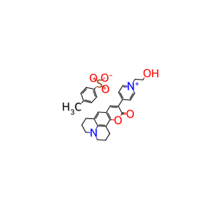 Cc1ccc(S(=O)(=O)[O-])cc1.O=c1oc2c3c4c(cc2cc1-c1cc[n+](CCO)cc1)CCCN4CCC3